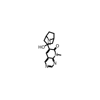 Cn1c(=O)c(C2(O)CC3CCC(C2)N3)cc2cncnc21